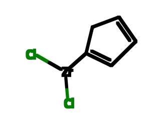 [Cl][Zr]([Cl])[C]1=CC=CC1